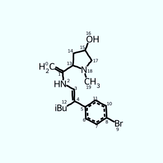 C=C(N/C=C(/c1ccc(Br)cc1)C(C)CC)C1CC(O)CN1C